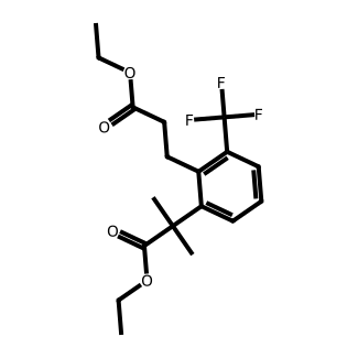 CCOC(=O)CCc1c(C(F)(F)F)cccc1C(C)(C)C(=O)OCC